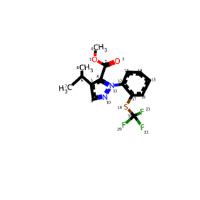 COC(=O)c1c(C(C)C)cnn1-c1ccccc1SC(F)(F)F